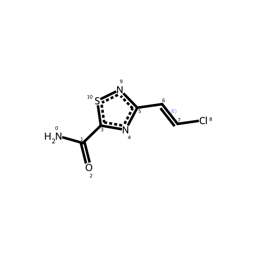 NC(=O)c1nc(/C=C/Cl)ns1